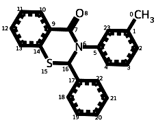 Cc1cccc(N2C(=O)c3ccccc3SC2c2ccccc2)c1